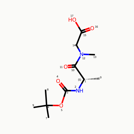 C[C@H](NC(=O)OC(C)(C)C)C(=O)N(C)CC(=O)O